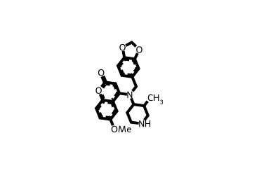 COc1ccc2oc(=O)cc(N(Cc3ccc4c(c3)OCO4)C3CCNCC3C)c2c1